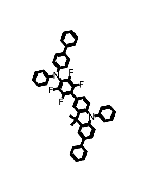 CC1(C)c2cc(-c3ccccc3)ccc2N(c2ccccc2)c2ccc(-c3c(F)c(F)c(N(c4ccccc4)c4ccc(-c5ccccc5)cc4)c(F)c3F)cc21